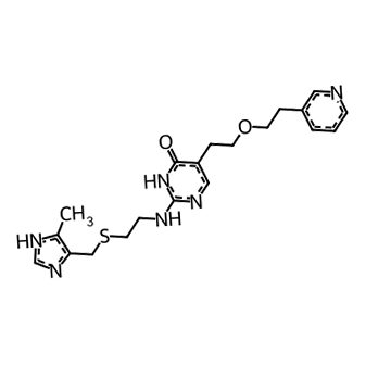 Cc1[nH]cnc1CSCCNc1ncc(CCOCCc2cccnc2)c(=O)[nH]1